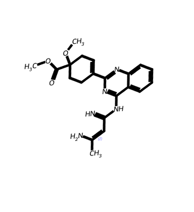 COC(=O)C1(OC)CC=C(c2nc(NC(=N)/C=C(/C)N)c3ccccc3n2)CC1